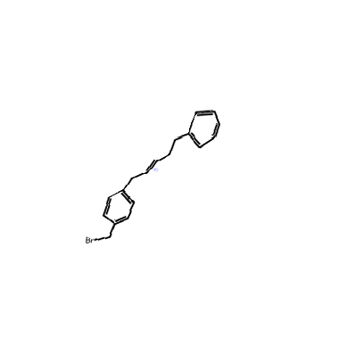 BrCc1ccc(C/C=C/CCc2ccccc2)cc1